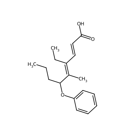 CCCC(Oc1ccccc1)/C(C)=C(/C=C/C(=O)O)CC